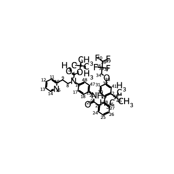 CC(C)(C)OC(=O)N(CCc1ccccn1)c1ccc(NC(=O)c2ccccc2-c2ccc(OCC(F)(F)C(F)F)cc2C(C)(C)C)cc1